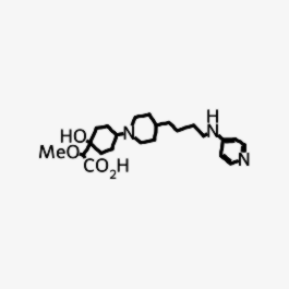 COC(C(=O)O)C1(O)CCC(N2CCC(CCCCNc3ccncc3)CC2)CC1